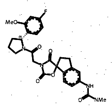 CNC(=O)Nc1ccc2c(c1)CCC21OC(=O)N(CC(=O)N2CCC[C@@H]2c2ccc(F)cc2OC)C1=O